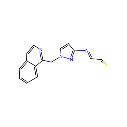 S=CC=Nc1ccn(Cc2nccc3ccccc23)n1